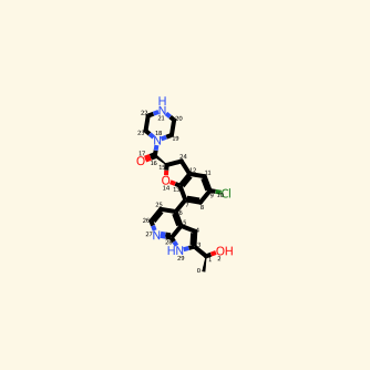 C[C@H](O)c1cc2c(-c3cc(Cl)cc4c3O[C@@H](C(=O)N3CCNCC3)C4)ccnc2[nH]1